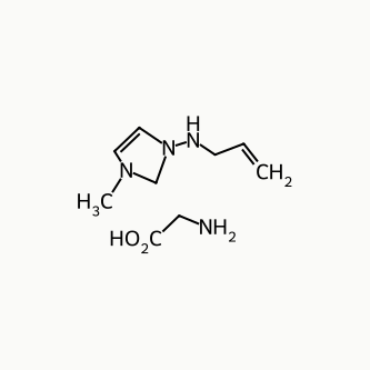 C=CCNN1C=CN(C)C1.NCC(=O)O